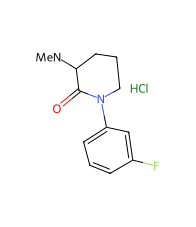 CNC1CCCN(c2cccc(F)c2)C1=O.Cl